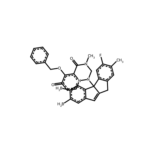 Bc1cc2c(cc1B)C1(N3CN(C)C(=O)c4c(OCc5ccccc5)c(=O)ccn43)C(=C2)Cc2cc(C)c(F)cc21